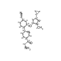 Cn1nc(C2CC2)cc1Oc1cc(C#N)ccc1-c1ccc(C(=O)CN)cn1